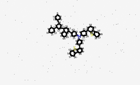 c1ccc(-c2cc(-c3ccccc3)cc(-c3ccc(-c4ccc(N(c5ccc(-c6cccc7c6sc6ccccc67)cc5)c5ccc(-c6cccc7c6sc6ccccc67)cc5)cc4)c4ccccc34)c2)cc1